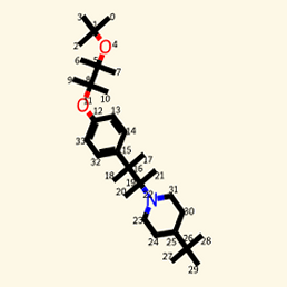 CC(C)(C)OC(C)(C)C(C)(C)Oc1ccc(C(C)(C)C(C)(C)N2CCC(C(C)(C)C)CC2)cc1